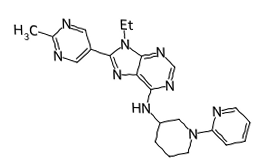 CCn1c(-c2cnc(C)nc2)nc2c(NC3CCCN(c4ccccn4)C3)ncnc21